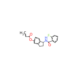 C=CC(=O)Oc1ccc2c(c1)CCC2NC(=O)c1ccccc1F